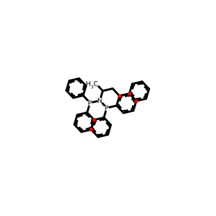 CC(CCc1ccccc1)N(P(c1ccccc1)c1ccccc1)P(c1ccccc1)c1ccccc1